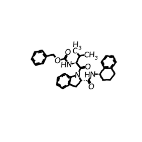 CC(C)[C@H](NC(=O)OCc1ccccc1)C(=O)N1c2ccccc2C[C@H]1C(=O)N[C@@H]1CCCc2ccccc21